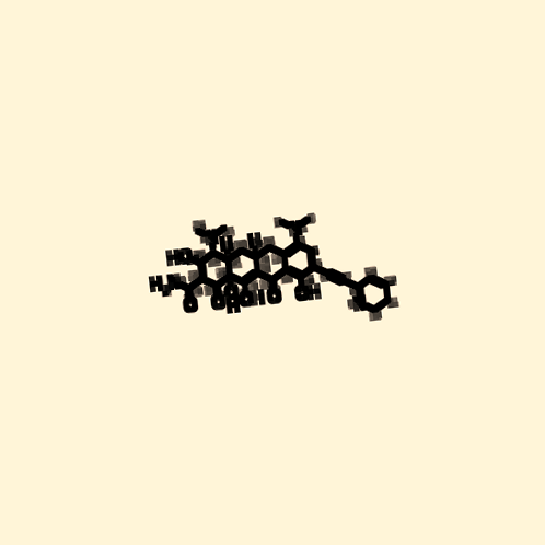 CN(C)c1cc(C#CC2=NCCC=C2)c(O)c2c1C[C@H]1C[C@H]3[C@H](N(C)C)C(O)=C(C(N)=O)C(=O)[C@@]3(O)C(O)=C1C2=O